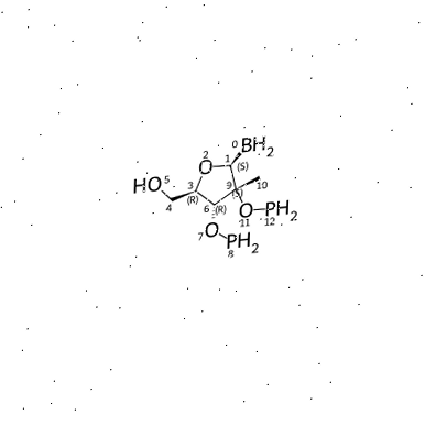 B[C@@H]1O[C@H](CO)[C@@H](OP)[C@@]1(C)OP